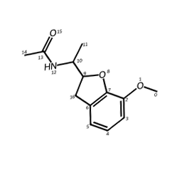 COc1cccc2c1OC(C(C)NC(C)=O)C2